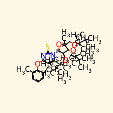 Cc1cccc(C)c1Oc1ccn([C@@H]2O[C@](C)(CO[Si](C)(C)C(C)(C)C)C(O[Si](C)(C)C(C)(C)C)C2O[Si](C)(C)C(C)(C)C)c(=S)n1